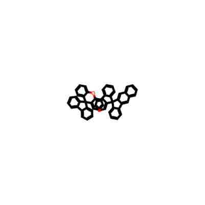 c1ccc(C2(c3ccccc3-c3cccc4c3Oc3ccccc3C43c4ccccc4-c4ccccc43)c3ccccc3-c3cc4ccccc4cc32)cc1